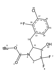 CC(C)(C)OC(=O)N1CC(F)(F)C(O)C1Cc1cccc(Cl)c1F